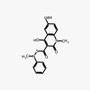 CSc1ccc2c(c1)c(O)c(C(=O)SN(C)c1ccccc1)c(=O)n2C